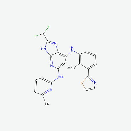 COc1c(Nc2cc(Nc3cccc(C#N)n3)nc3[nH]c(C(F)F)nc23)cccc1-c1nccs1